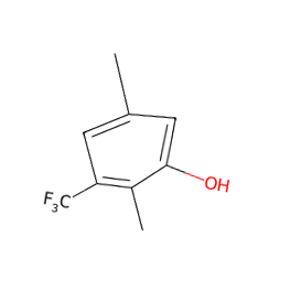 Cc1cc(O)c(C)c(C(F)(F)F)c1